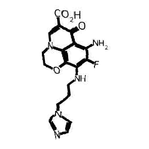 Nc1c(F)c(NCCCn2ccnc2)c2c3c1c(=O)c(C(=O)O)cn3CCO2